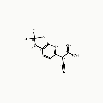 N#CC(C(=O)O)c1ccc(OC(F)(F)F)cn1